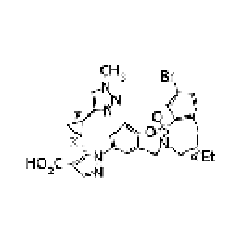 CC[C@H]1Cc2ccc(Br)cc2S(=O)(=O)N(Cc2cccc(-n3ncc(C(=O)O)c3[C@@H]3C[C@H]3c3cn(C)nn3)c2)C1